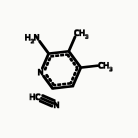 C#N.Cc1ccnc(N)c1C